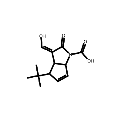 CC(C)(C)C1C=CC2C1C(=CO)C(=O)N2C(=O)O